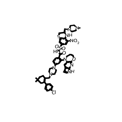 CN1CCN(CC2CSc3cc(S(=O)(=O)NC(=O)c4ccc(N5CCN(CC6=C(c7ccc(Cl)cc7)CC(C)(C)CC6)CC5)cc4N4CCCOc5nc6[nH]ccc6cc54)cc([N+](=O)[O-])c3N2)CC1